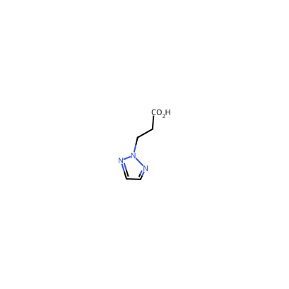 O=C(O)CCn1nccn1